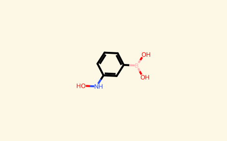 ONc1cccc(B(O)O)c1